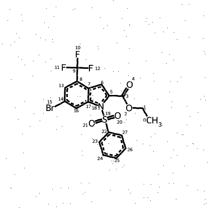 CCOC(=O)c1cc2c(C(F)(F)F)cc(Br)cc2n1S(=O)(=O)c1ccccc1